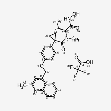 CCCN(C(=O)C1(c2ccc(OCc3cc(C)nc4ccccc34)cc2)CC1)[C@@H](CC(C)C)C(=O)NO.O=C(O)C(F)(F)F